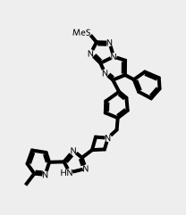 CSc1nc2nc(-c3ccc(CN4CC(c5n[nH]c(-c6cccc(C)n6)n5)C4)cc3)c(-c3ccccc3)cn2n1